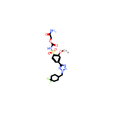 COc1cc(-c2nnn(CC3CCC(F)(F)CC3)n2)ccc1S(=O)(=O)NC(=O)OCC(N)=O